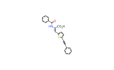 O=C(O)/C(=C\c1ccc(C#Cc2ccccc2)s1)NC(=O)c1ccccc1